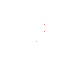 CC1(C)c2ccccc2-c2cc(-c3ccc4c(c3)CCCC4)c(N(c3ccccc3)c3cccc4ccccc34)cc21